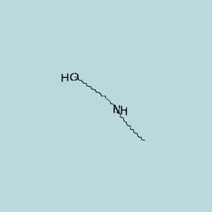 CCCCCCCCCCCCCCCCNCCCCCCCCCCCCCCCCCCO